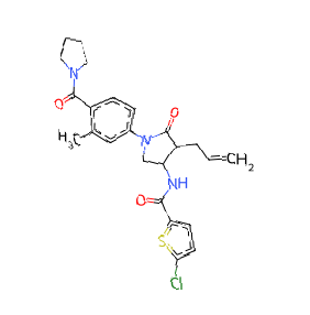 C=CCC1C(=O)N(c2ccc(C(=O)N3CCCC3)c(C)c2)CC1NC(=O)c1ccc(Cl)s1